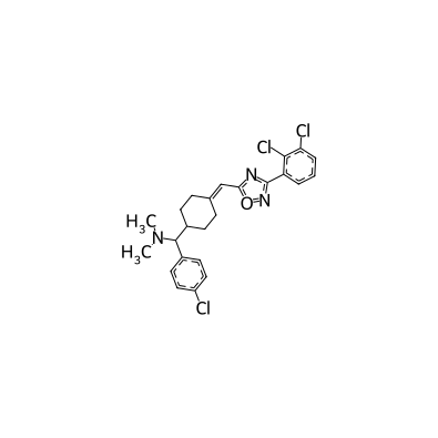 CN(C)C(c1ccc(Cl)cc1)C1CCC(=Cc2nc(-c3cccc(Cl)c3Cl)no2)CC1